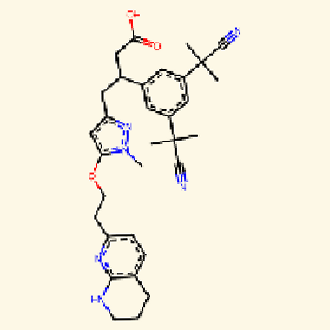 Cn1nc(CC(CC(=O)O)c2cc(C(C)(C)C#N)cc(C(C)(C)C#N)c2)cc1OCCc1ccc2c(n1)NCCC2